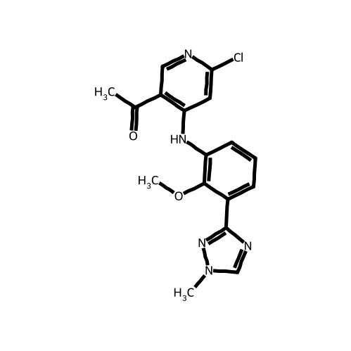 COc1c(Nc2cc(Cl)ncc2C(C)=O)cccc1-c1ncn(C)n1